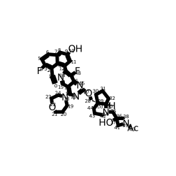 C#Cc1c(F)ccc2cc(O)cc(-c3ncc4c(N5CCCOCC5)nc(OC[C@]56CCC[C@H]5N(CC5(O)CN(C(C)=O)C5)CCC6)nc4c3F)c12